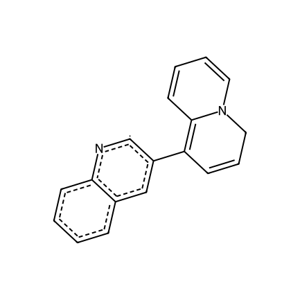 [c]1nc2ccccc2cc1C1=C2C=CC=CN2CC=C1